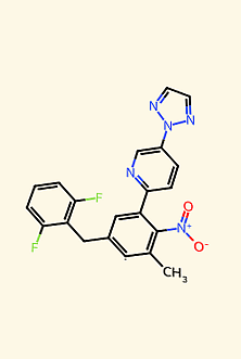 Cc1[c]c(Cc2c(F)cccc2F)cc(-c2ccc(-n3nccn3)cn2)c1[N+](=O)[O-]